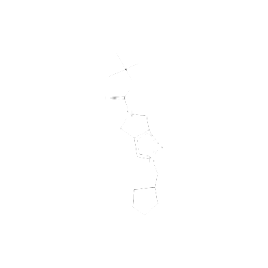 CC(C)(C)OC(=O)N1Cc2cn(CC3CCCC3)nc2C1